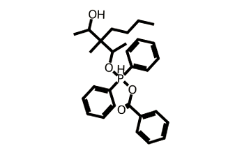 CCCCC(C)(C(C)O)C(C)O[PH](OC(=O)c1ccccc1)(c1ccccc1)c1ccccc1